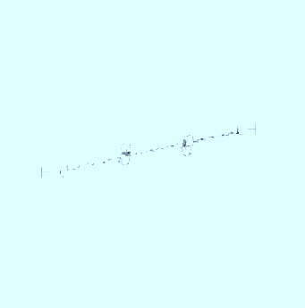 CCCCCCCCCCCCOC(=O)CCCCCCCCCCC(=O)OCCCCCCCCCC